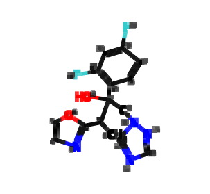 CC(c1ncco1)C(O)(Cn1cncn1)c1ccc(F)cc1F